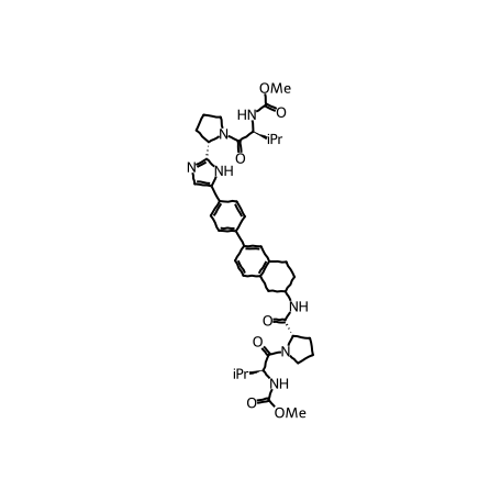 COC(=O)N[C@H](C(=O)N1CCC[C@H]1C(=O)NC1CCc2cc(-c3ccc(-c4cnc([C@@H]5CCCN5C(=O)[C@@H](NC(=O)OC)C(C)C)[nH]4)cc3)ccc2C1)C(C)C